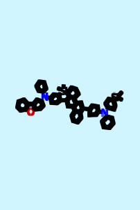 C[Si](C)(C)c1ccc(N(c2ccccc2)c2ccc(-c3cc4c5cccc6c5c(cc4c4ccccc34)-c3ccc(N(c4ccccc4)c4ccc5oc7ccccc7c5c4)cc3[Si]6(C)C)cc2)cc1